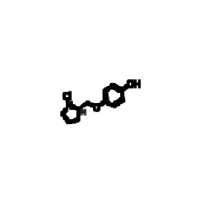 Oc1ccc(OC[C@H]2CCCN2Cl)cc1